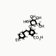 CCc1ccc(Cc2cc(C(=O)O)ccc2O[C@H]2S[C@@H](CO)[C@@H](O)[C@H](O)[C@H]2O)cc1